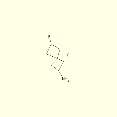 Cl.NC1CC2(C1)CC(F)C2